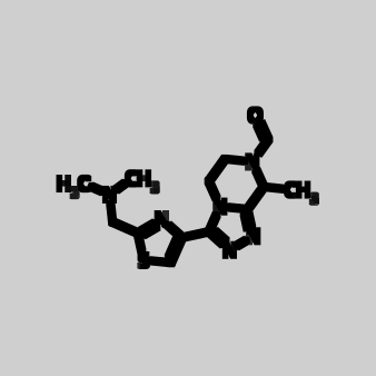 CC1c2nnc(-c3csc(CN(C)C)n3)n2CCN1C=O